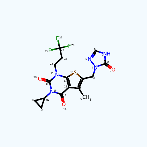 Cc1c(Cn2nc[nH]c2=O)sc2c1c(=O)n(C1CC1)c(=O)n2CCC(F)(F)F